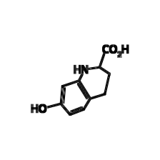 O=C(O)C1CCc2ccc(O)cc2N1